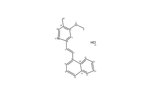 COc1cc(C=Cc2cccc3ccccc23)ncc1C.Cl